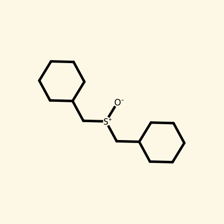 [O-][S+](CC1CCCCC1)CC1CCCCC1